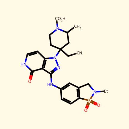 CCN1Cc2cc(Nc3nn(C4(CC#N)CCN(C(=O)O)C(C)C4)c4cc[nH]c(=O)c34)ccc2S1(=O)=O